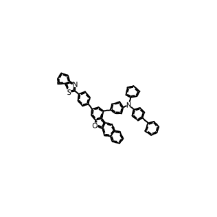 c1ccc(-c2ccc(N(c3ccccc3)c3ccc(-c4cc(-c5ccc(-c6nc7ccccc7s6)cc5)cc5oc6cc7ccccc7cc6c45)cc3)cc2)cc1